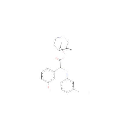 O=C(O)c1cccc(NC(C(=O)O[C@H]2CN3CCC2CC3)c2cccc(O)c2)c1